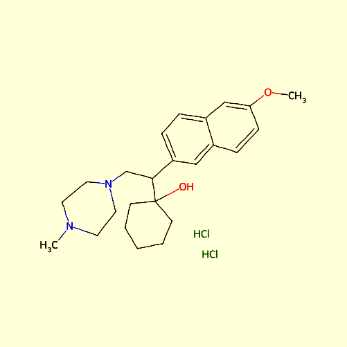 COc1ccc2cc(C(CN3CCN(C)CC3)C3(O)CCCCC3)ccc2c1.Cl.Cl